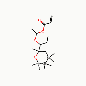 C=CC(=O)OC(C)OC(CC)C1(C)C[Si](C)(C)[Si](C)(C)[Si](C)(C)O1